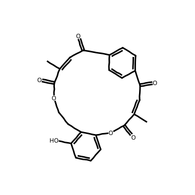 CC1=CC(=O)c2ccc(cc2)C(=O)C=C(C)C(=O)Oc2cccc(O)c2CCOC1=O